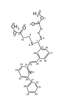 COC(=O)CCSC(SCCC(=O)OC)c1cccc(C=Cc2cccc(-c3ccccc3)n2)c1